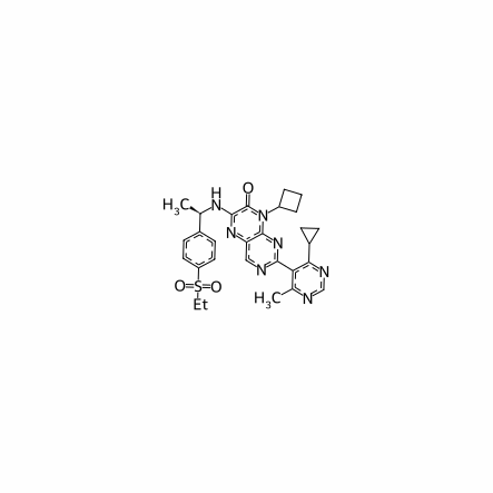 CCS(=O)(=O)c1ccc([C@@H](C)Nc2nc3cnc(-c4c(C)ncnc4C4CC4)nc3n(C3CCC3)c2=O)cc1